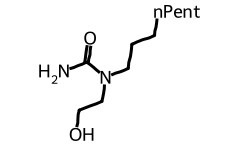 CCCCCCCCN(CCO)C(N)=O